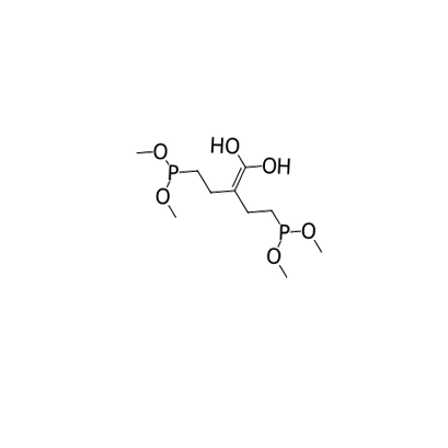 COP(CCC(CCP(OC)OC)=C(O)O)OC